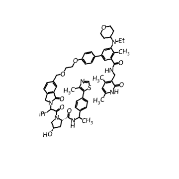 CCN(c1cc(-c2ccc(OCCOCc3ccc4c(c3)C(=O)N(C(C(=O)N3C[C@H](O)C[C@H]3C(=O)NC(C)c3ccc(-c5scnc5C)cc3)C(C)C)C4)cc2)cc(C(=O)NCc2c(C)cc(C)[nH]c2=O)c1C)C1CCOCC1